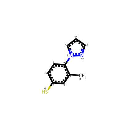 FC(F)(F)c1cc(S)ccc1-n1cccn1